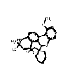 COc1cccc2c1-c1ccc3c(c1C(C1(CCl)CC=CCC1)O2)C(C)=CC(C)(C)N3